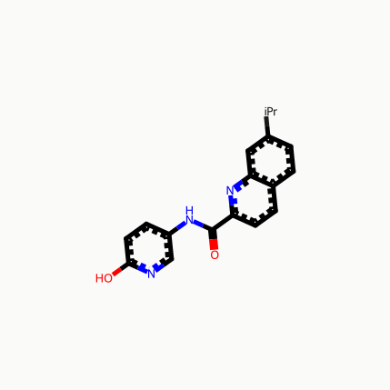 CC(C)c1ccc2ccc(C(=O)Nc3ccc(O)nc3)nc2c1